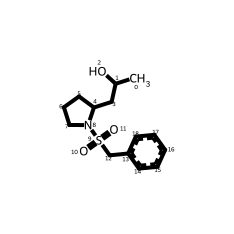 CC(O)CC1CCCN1S(=O)(=O)Cc1ccccc1